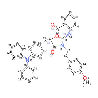 COc1ccc(CCN2C(=O)/C(=C\c3ccc4c(c3)c3ccccc3n4-c3ccccc3)O/C2=N\c2ccccc2C=O)cc1